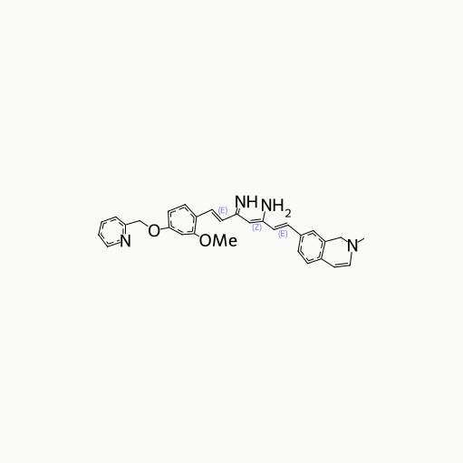 COc1cc(OCc2ccccn2)ccc1/C=C/C(=N)/C=C(N)/C=C/c1ccc2c(c1)CN(C)C=C2